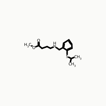 COC(=O)CCCNCc1ccccc1SC(C)C